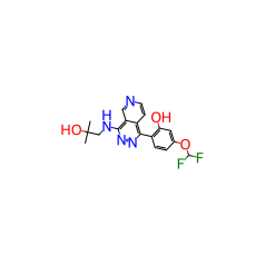 CC(C)(O)CNc1nnc(-c2ccc(OC(F)F)cc2O)c2ccncc12